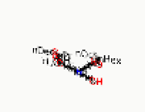 CCCCCCCCCCOC(CCC)O[Si](C)(C)OCCCCCCN(CCCCO)CCCCCCOC(=O)C(CCCCCC)CCCCCCCC